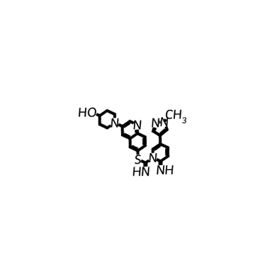 Cn1cc(-c2ccc(=N)n(C(=N)Sc3ccc4ncc(N5CCC(O)CC5)cc4c3)c2)cn1